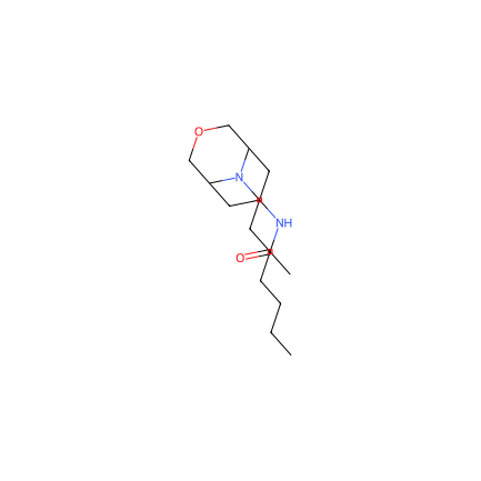 CCCCCCCN1C2COCC1CC(NC(C)=O)C2